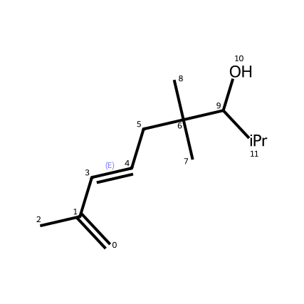 C=C(C)/C=C/CC(C)(C)C(O)C(C)C